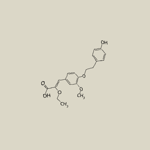 CCO/C(=C\c1ccc(OCCc2ccc(O)cc2)c(OC)c1)C(=O)O